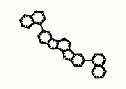 c1ccc2c(-c3ccc4oc5c(ccc6c7cc(-c8cccc9ccccc89)ccc7oc65)c4c3)cccc2c1